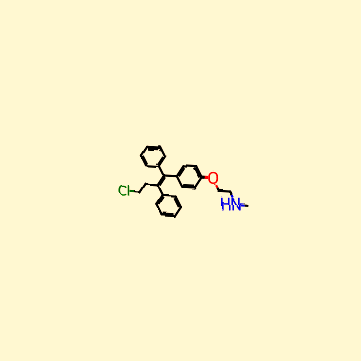 CNCCOc1ccc(C(=C(CCCl)c2ccccc2)c2ccccc2)cc1